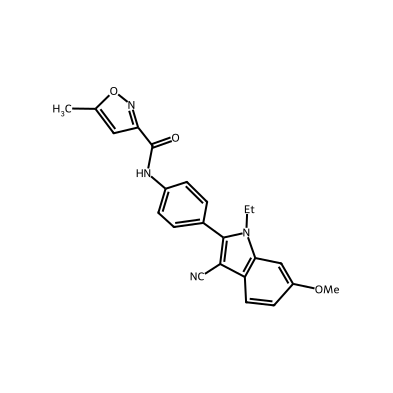 CCn1c(-c2ccc(NC(=O)c3cc(C)on3)cc2)c(C#N)c2ccc(OC)cc21